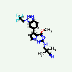 COc1nc(NCC(C)(C)C#N)nn2ccc(-c3ccc4nnn(CC(F)(F)F)c4c3)c12